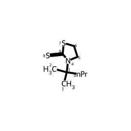 CCCC(C)(C)N1CCSC1=S